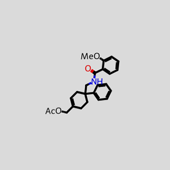 COc1ccccc1C(=O)NCC1(c2ccccc2)CC=C(COC(C)=O)CC1